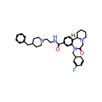 O=C(NCCN1CCC(Cc2ccccc2)CC1)c1ccc2c(c1)N(CC1C=C(F)C=CC1)C(=O)CN1CCCC[C@H]21